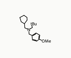 COc1ccc(CN(CC2CCCCC2)CC(C)(C)C)cc1